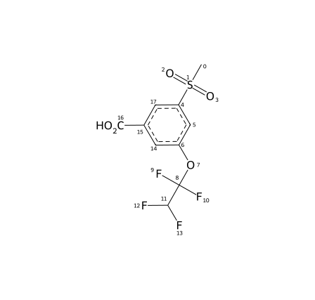 CS(=O)(=O)c1cc(OC(F)(F)C(F)F)cc(C(=O)O)c1